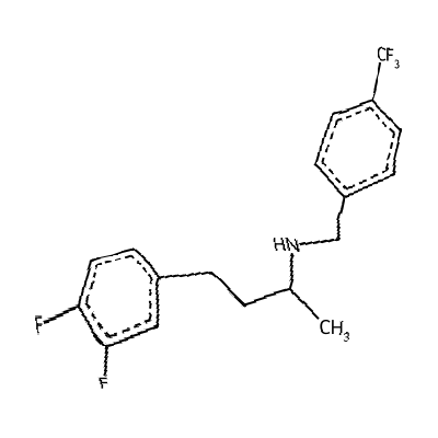 CC(CCc1ccc(F)c(F)c1)NCc1ccc(C(F)(F)F)cc1